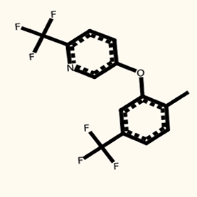 Cc1ccc(C(F)(F)F)cc1Oc1ccc(C(F)(F)F)nc1